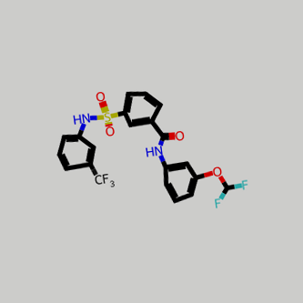 O=C(Nc1cccc(OC(F)F)c1)c1cccc(S(=O)(=O)Nc2cccc(C(F)(F)F)c2)c1